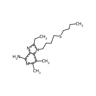 CCCCSCCCCn1c(CC)nc2c(N)nc(C)c(C)c21